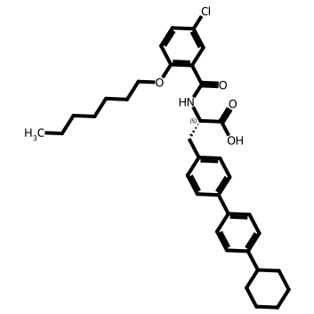 CCCCCCCOc1ccc(Cl)cc1C(=O)N[C@@H](Cc1ccc(-c2ccc(C3CCCCC3)cc2)cc1)C(=O)O